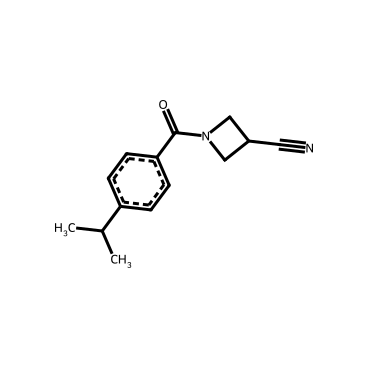 CC(C)c1ccc(C(=O)N2CC(C#N)C2)cc1